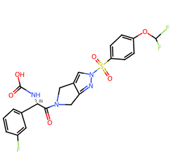 O=C(O)N[C@H](C(=O)N1Cc2cn(S(=O)(=O)c3ccc(OC(F)F)cc3)nc2C1)c1cccc(F)c1